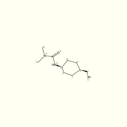 CC(C)C[C@H]1CC[C@@H](NC(=O)N(C)C)CC1